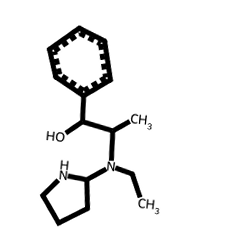 CCN(C1CCCN1)C(C)C(O)c1ccccc1